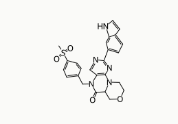 CS(=O)(=O)c1ccc(CN2C(=O)C3COCCN3c3nc(-c4ccc5cc[nH]c5c4)ncc32)cc1